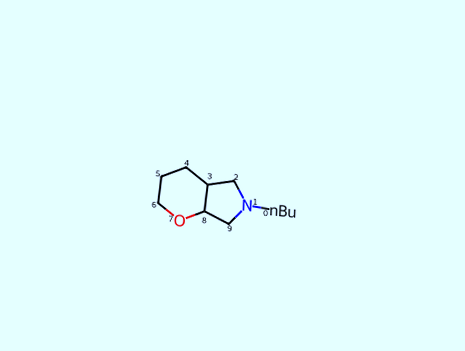 CCCCN1CC2CCCOC2C1